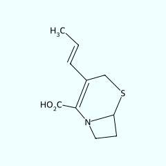 CC=CC1=C(C(=O)O)N2CCC2SC1